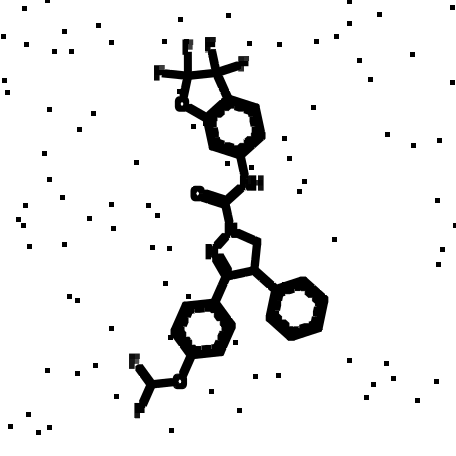 O=C(Nc1ccc2c(c1)OC(F)(F)C2(F)F)N1CC(c2ccccc2)C(c2ccc(OC(F)F)cc2)=N1